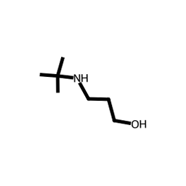 CC(C)(C)NCCCO